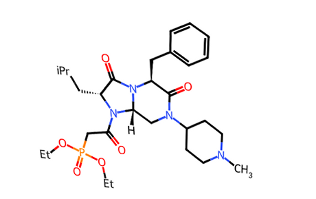 CCOP(=O)(CC(=O)N1[C@H]2CN(C3CCN(C)CC3)C(=O)[C@H](Cc3ccccc3)N2C(=O)[C@H]1CC(C)C)OCC